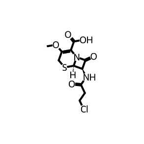 COC1=C(C(=O)O)N2C(=O)[C@@H](NC(=O)CCCl)[C@H]2SC1